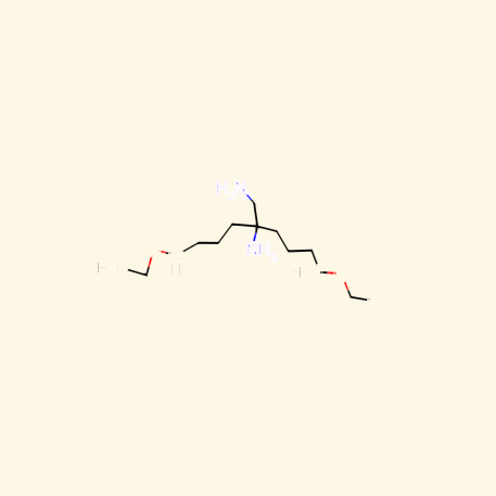 CCO[SiH2]CCCC(N)(CN)CCC[SiH2]OCC